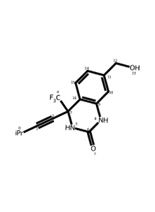 CC(C)C#CC1(C(F)(F)F)NC(=O)Nc2cc(CO)ccc21